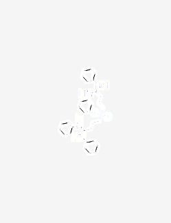 O=S(=O)(CCCC(Nc1ccccc1)Nc1ccccc1)CCCC(Nc1ccccc1)Nc1ccccc1